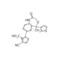 CC1(c2ccsc2)OCC(=O)Nc2ccc(-c3ccc(C#N)n3C(=O)O)cc21